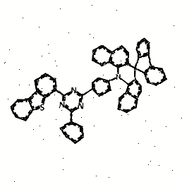 c1ccc(-c2nc(-c3ccc(N4c5c(ccc6ccccc56)C5(c6ccccc6-c6ccccc65)c5ccc6ccccc6c54)cc3)nc(-c3cccc4c3sc3ccccc34)n2)cc1